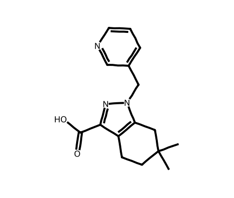 CC1(C)CCc2c(C(=O)O)nn(Cc3cccnc3)c2C1